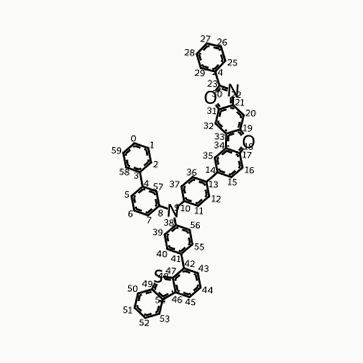 c1ccc(-c2cccc(N(c3ccc(-c4ccc5oc6cc7nc(-c8ccccc8)oc7cc6c5c4)cc3)c3ccc(-c4cccc5c4sc4ccccc45)cc3)c2)cc1